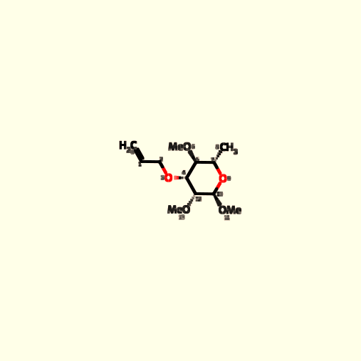 C=CCO[C@@H]1[C@@H](OC)[C@H](C)O[C@@H](OC)[C@@H]1OC